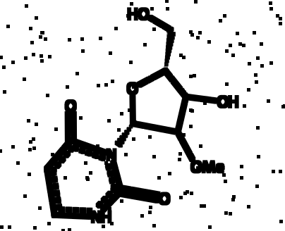 COC1C(O)[C@@H](CO)O[C@H]1n1c(=O)cc[nH]c1=O